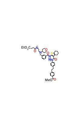 CCOC(=O)CCC(=O)N(C)CCN(Cc1cccc(C(=O)Nc2sc3c(c2C(=O)Nc2ccc(CCc4ccc(C(=O)OC)cc4)cc2)CCCC3)c1)C1CCOCC1